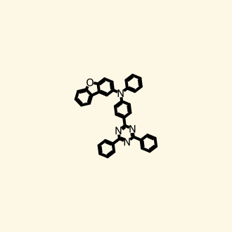 c1ccc(-c2nc(-c3ccccc3)nc(-c3ccc(N(c4ccccc4)c4ccc5oc6ccccc6c5c4)cc3)n2)cc1